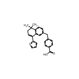 CC1(C)CC=C(c2cccs2)c2cc(Cc3ccc(C(=O)O)cc3)ccc21